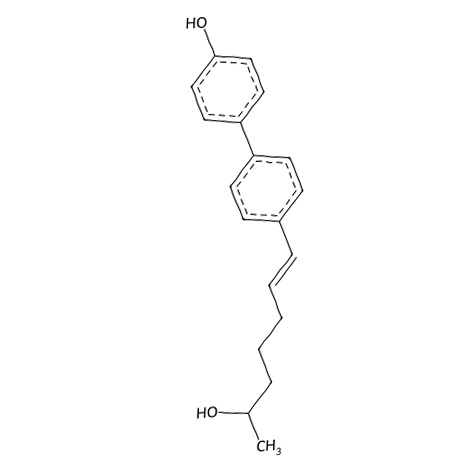 CC(O)CCCC=Cc1ccc(-c2ccc(O)cc2)cc1